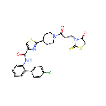 O=C(Nc1ccccc1-c1ccc(Cl)cc1)c1csc(C2CCN(C(=O)CCN3C(=O)CSC3=S)CC2)n1